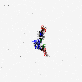 C=N/C(=C\c1c(F)ccc(N2C[C@H](CS(C)(=O)=O)[C@H]2C)c1C)Nc1ccnc(N2CC[C@@H](OCCOC)[C@@H](F)C2)n1